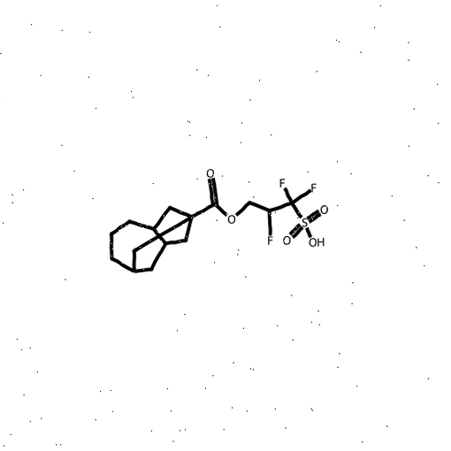 O=C(OCC(F)C(F)(F)S(=O)(=O)O)C12CC3CCCC(C1)C(C3)C2